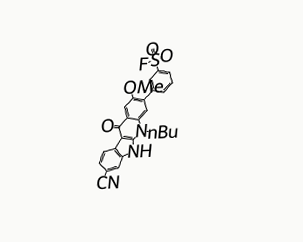 CCCCn1c2cc(-c3cccc(S(=O)(=O)F)c3)c(OC)cc2c(=O)c2c3ccc(C#N)cc3[nH]c21